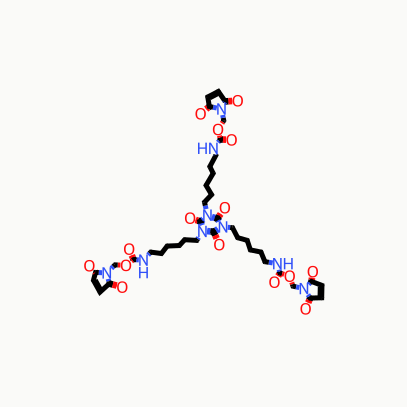 O=C(NCCCCCCn1c(=O)n(CCCCCCNC(=O)OCN2C(=O)C=CC2=O)c(=O)n(CCCCCCNC(=O)OCN2C(=O)C=CC2=O)c1=O)OCN1C(=O)C=CC1=O